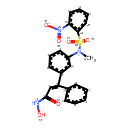 CN(c1cccc(C(=CC(=O)NO)c2ccccc2)c1)S(=O)(=O)c1ccccc1[N+](=O)[O-]